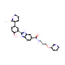 COc1ncccc1-c1ccc(O)c(-c2nc3ccc(C(=O)NCCCOc4cccnc4)cc3[nH]2)c1